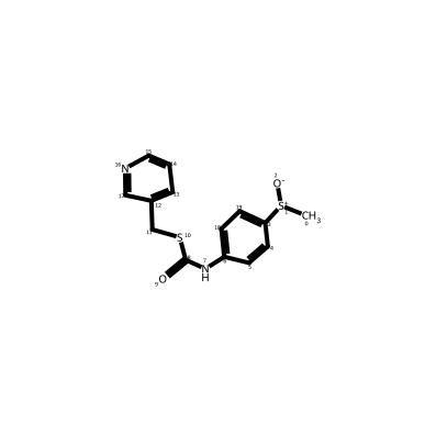 C[S+]([O-])c1ccc(NC(=O)SCc2cccnc2)cc1